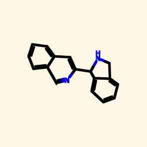 [c]1nc(C2NCc3ccccc32)cc2ccccc12